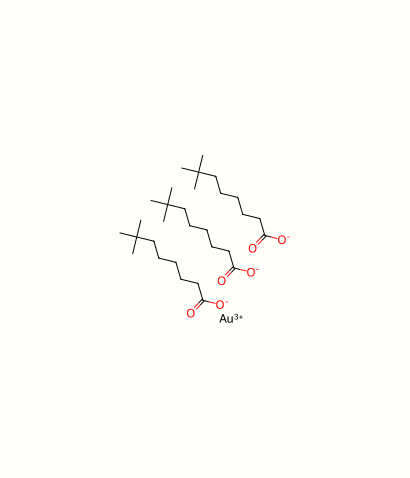 CC(C)(C)CCCCCC(=O)[O-].CC(C)(C)CCCCCC(=O)[O-].CC(C)(C)CCCCCC(=O)[O-].[Au+3]